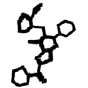 N#Cc1ccccc1Cn1c(N2CCCCC2)nc2cc(C(=O)N3CCCCC3)sc2c1=O